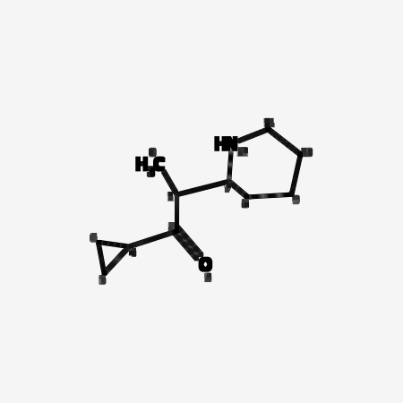 CC(C(=O)C1CC1)C1CCCCN1